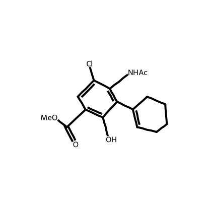 COC(=O)c1cc(Cl)c(NC(C)=O)c(C2=CCCCC2)c1O